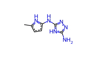 Cc1ccc(Nc2nnc(N)[nH]2)[nH]1